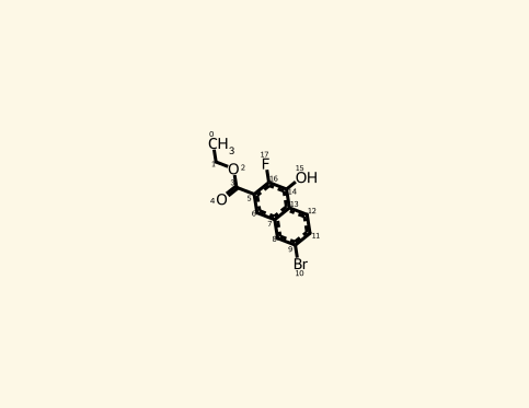 CCOC(=O)c1cc2cc(Br)ccc2c(O)c1F